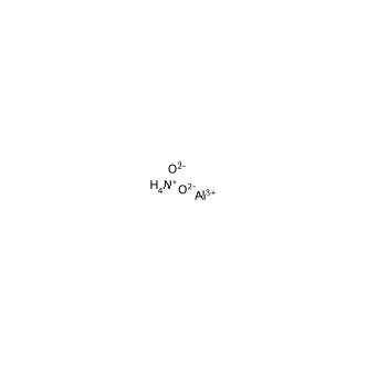 [Al+3].[NH4+].[O-2].[O-2]